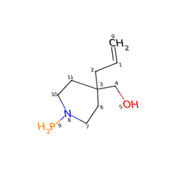 C=CCC1(CO)CCN(P)CC1